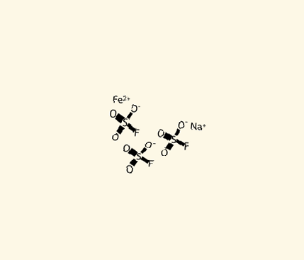 O=S(=O)([O-])F.O=S(=O)([O-])F.O=S(=O)([O-])F.[Fe+2].[Na+]